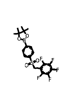 CC1(C)OB(c2ccc(S(=O)(=O)Cc3c(F)c(F)c(F)c(F)c3F)cc2)OC1(C)C